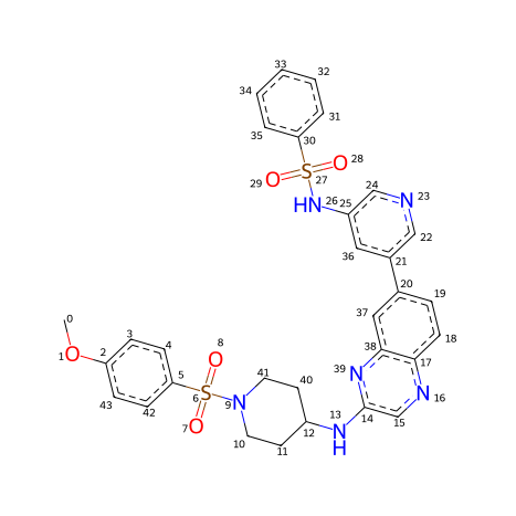 COc1ccc(S(=O)(=O)N2CCC(Nc3cnc4ccc(-c5cncc(NS(=O)(=O)c6ccccc6)c5)cc4n3)CC2)cc1